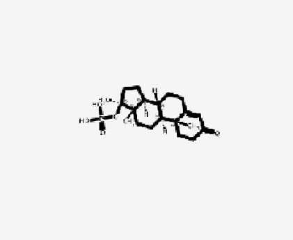 C[C@]12CCC(=O)C=C1CC[C@@H]1[C@@H]2CC[C@@]2(C)[C@H]1CC[C@]2(C)OP(=O)(O)O